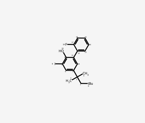 CC(C)(C)CC(C)(C)c1cc(I)c(O)c(-c2ccccc2F)c1